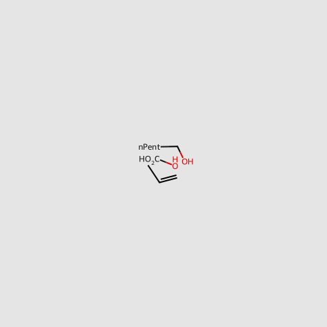 C=CC.CCCCCCO.O=C(O)O